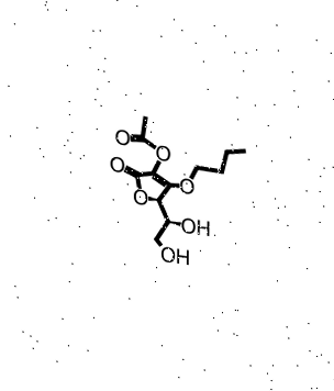 CCCCOC1=C(OC(C)=O)C(=O)O[C@@H]1[C@@H](O)CO